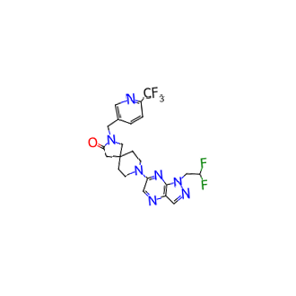 O=C1CC2(CCN(c3cnc4cnn(CC(F)F)c4n3)CC2)CN1Cc1ccc(C(F)(F)F)nc1